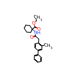 CCOC(=O)C1(NC(=O)Cc2ccc(-c3ccccc3)cc2C)CCCCC1